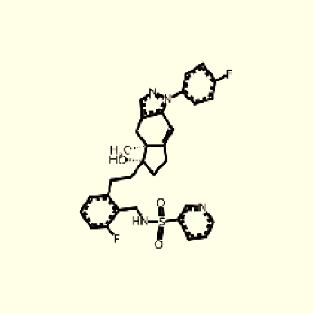 C[C@]12Cc3cnn(-c4ccc(F)cc4)c3C=C1CC[C@@]2(O)CCc1cccc(F)c1CNS(=O)(=O)c1cccnc1